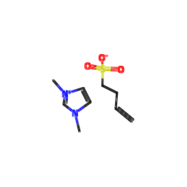 C=CCCS(=O)(=O)[O-].Cn1cc[n+](C)c1